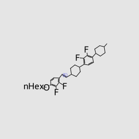 CCCCCCOc1ccc(/C=C/C2CCC(c3ccc(C4CCC(C)CC4)c(F)c3F)CC2)c(F)c1F